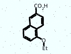 CCOc1cccc2cc(C(=O)O)ccc12